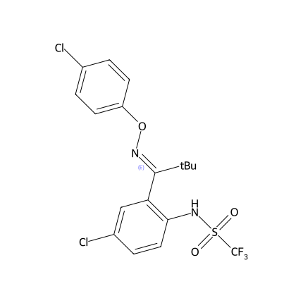 CC(C)(C)/C(=N\Oc1ccc(Cl)cc1)c1cc(Cl)ccc1NS(=O)(=O)C(F)(F)F